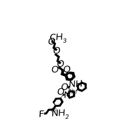 COCCOCCCOC(=O)c1cc2cc(NC(=O)[C@@H]3[C@H](C4CCCCC4)CCN3C(=O)[C@H]3CC[C@H]([C@H](N)CCF)CC3)ccc2o1